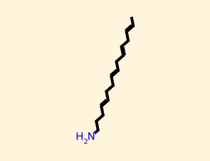 CC=CCC=CCC=CCCC=CCCCN